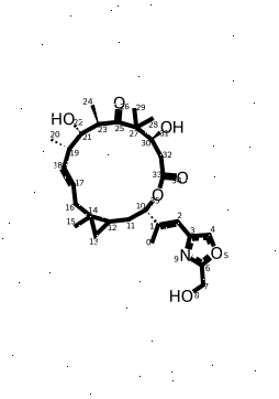 C/C(=C\c1coc(CO)n1)[C@@H]1CC2CC2(C)C/C=C/[C@H](C)[C@H](O)[C@@H](C)C(=O)C(C)(C)[C@@H](O)CC(=O)O1